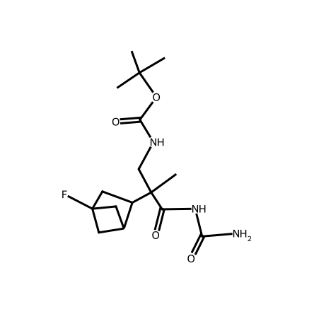 CC(C)(C)OC(=O)NCC(C)(C(=O)NC(N)=O)C1CC2(F)CC1C2